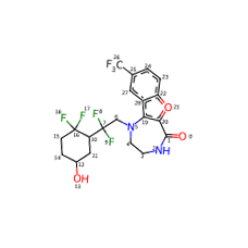 O=C1NCCN(CC(F)(F)C2CC(O)CCC2(F)F)c2c1oc1ccc(C(F)(F)F)cc21